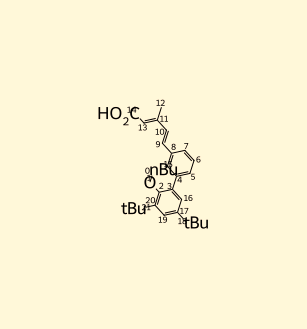 CCCCOc1c(-c2cccc(C=CC(C)=CC(=O)O)c2)cc(C(C)(C)C)cc1C(C)(C)C